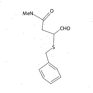 CNC(=O)CC(C=O)SCc1ccccc1